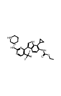 CCOC(=O)Nc1ccc2c(-c3nc(N[C@H]4CCCNC4)ncc3C(F)(F)F)c[nH]c2c1C1CC1